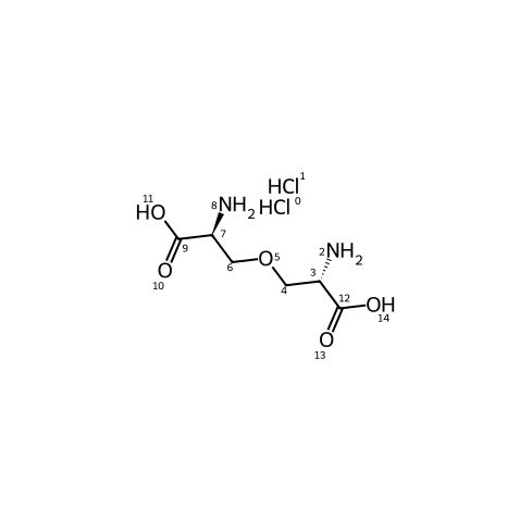 Cl.Cl.N[C@@H](COC[C@H](N)C(=O)O)C(=O)O